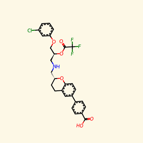 O=C(O)c1ccc(-c2ccc3c(c2)CC[C@H](CNC[C@@H](COc2cccc(Cl)c2)OC(=O)C(F)(F)F)O3)cc1